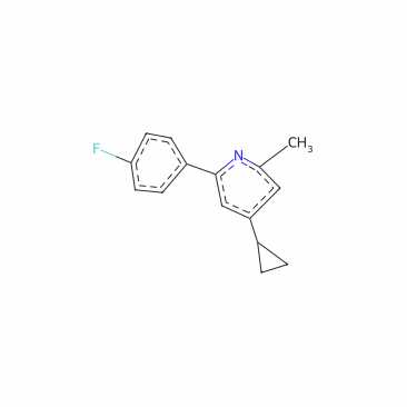 Cc1cc(C2CC2)cc(-c2ccc(F)cc2)n1